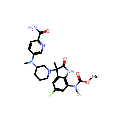 CCN(C(=O)OC(C)(C)C)c1cc(F)cc2c1NC(=O)C2(C)N1CCC[C@@H](N(C)c2ccc(C(N)=O)nc2)C1